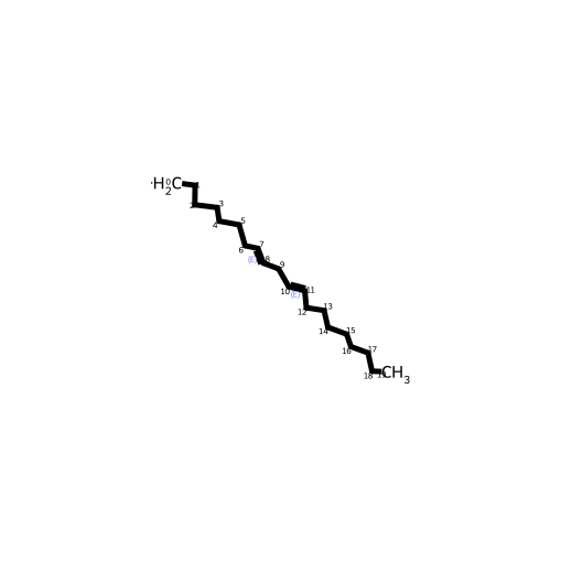 [CH2]CCCCCC/C=C/C/C=C/CCCCCCCC